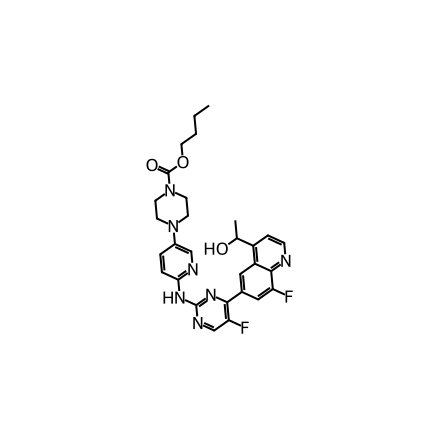 CCCCOC(=O)N1CCN(c2ccc(Nc3ncc(F)c(-c4cc(F)c5nccc(C(C)O)c5c4)n3)nc2)CC1